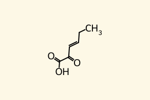 CC/C=C/C(=O)C(=O)O